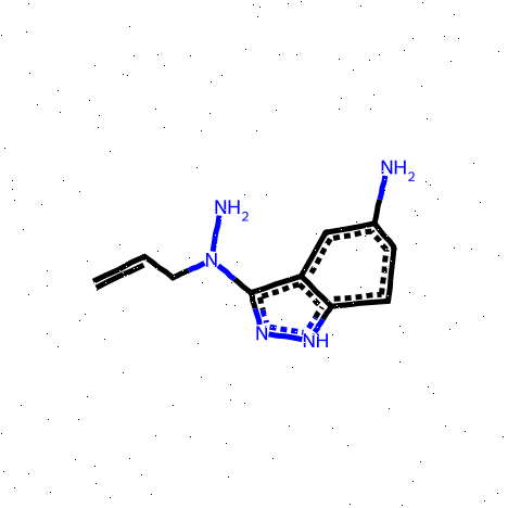 C=CCN(N)c1n[nH]c2ccc(N)cc12